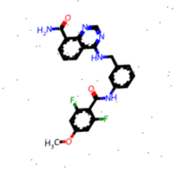 COc1cc(F)c(C(=O)Nc2cccc(CNc3ncnc4c(C(N)=O)cccc34)c2)c(F)c1